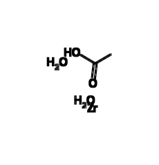 CC(=O)O.O.O.[Zr]